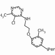 CCCC(C)c1ccc(OCCNc2ncnc(C)c2Cl)c(C)c1